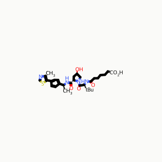 Cc1ncsc1-c1ccc([C@H](C)NC(=O)[C@@H]2C[C@@H](O)CN2C(=O)[C@@H](NC(=O)CCCCCC(=O)O)C(C)(C)C)cc1